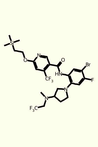 CN(CC(F)(F)F)C1CCN(c2cc(F)c(Br)cc2NC(=O)c2cnc(OCC[Si](C)(C)C)cc2C(F)(F)F)C1